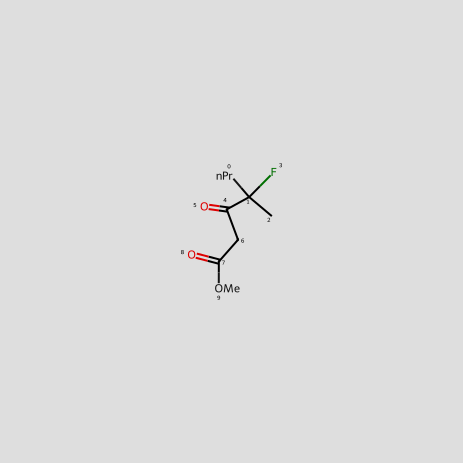 CCCC(C)(F)C(=O)CC(=O)OC